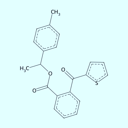 Cc1ccc(C(C)OC(=O)c2ccccc2C(=O)c2cccs2)cc1